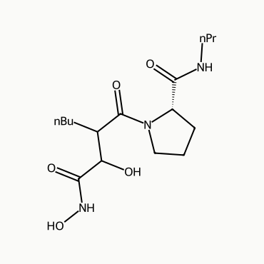 CCCCC(C(=O)N1CCC[C@H]1C(=O)NCCC)C(O)C(=O)NO